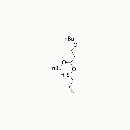 C=CC[SiH2]OC(CCOCCCC)OCCCC